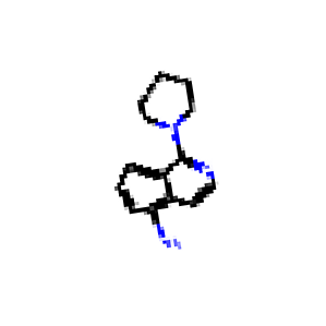 Nc1cccc2c(N3CCCCC3)nccc12